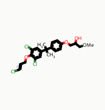 COCC(O)COc1ccc(C(C)(C)c2cc(Cl)c(OC/C=C/Cl)c(Cl)c2)cc1